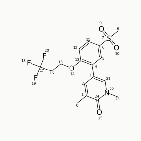 Cc1cc(-c2cc(S(C)(=O)=O)ccc2OCCC(F)(F)F)cn(C)c1=O